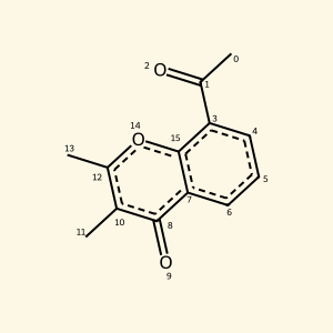 CC(=O)c1cccc2c(=O)c(C)c(C)oc12